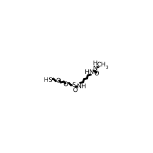 CCNC(=O)NCCCCCCNC(=O)SCCOCCOCCS